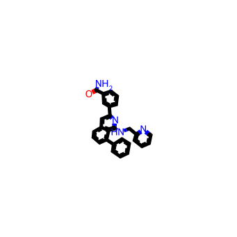 NC(=O)c1cccc(-c2cc3cccc(-c4ccccc4)c3c(NCc3ccccn3)n2)c1